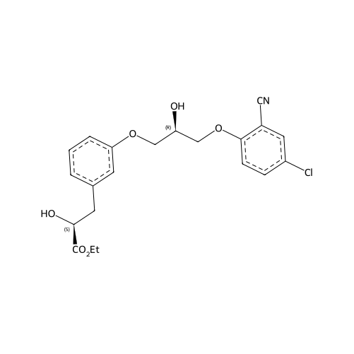 CCOC(=O)[C@@H](O)Cc1cccc(OC[C@@H](O)COc2ccc(Cl)cc2C#N)c1